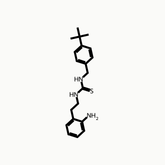 CC(C)(C)c1ccc(CNC(=S)NCCc2ccccc2N)cc1